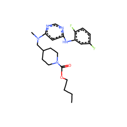 CCCCOC(=O)N1CCC(CN(C)c2cc(Nc3cc(F)ccc3F)ncn2)CC1